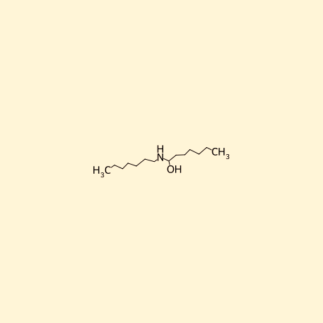 CCCCCCCNC(O)CCCCCC